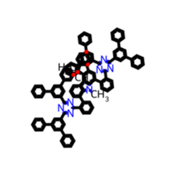 Cn1c2c(-c3ccccc3-c3nc(-c4cc(-c5ccccc5)cc(-c5ccccc5)c4)nc(-c4cc(-c5ccccc5)cc(-c5ccccc5)c4)n3)cccc2c2c3c(cc(-c4ccccc4-c4nc(-c5cc(-c6ccccc6)cc(-c6ccccc6)c5)nc(-c5cc(-c6ccccc6)cc(-c6ccccc6)c5)n4)c21)-c1ccccc1C3(C)C